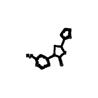 Nc1cc(N2CC(c3cccs3)OC2=O)ccn1